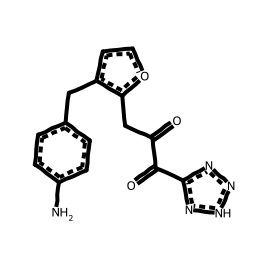 Nc1ccc(Cc2ccoc2CC(=O)C(=O)c2nn[nH]n2)cc1